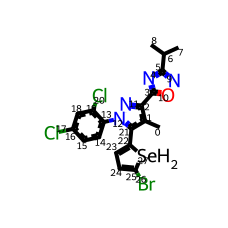 Cc1c(-c2nc(C(C)C)no2)nn(-c2ccc(Cl)cc2Cl)c1C1=CC=C(Br)[SeH2]1